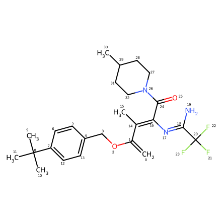 C=C(OCc1ccc(C(C)(C)C)cc1)/C(C)=C(\N=C(/N)C(F)(F)F)C(=O)N1CCC(C)CC1